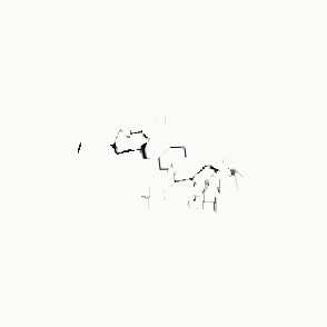 CCOc1cc(C(C)N2CCC[C@H](Cc3cc(C)nc(C)c3)C2)n(C)n1